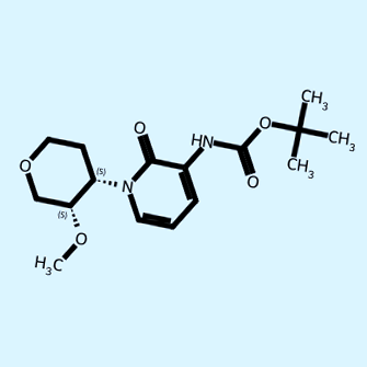 CO[C@@H]1COCC[C@@H]1n1cccc(NC(=O)OC(C)(C)C)c1=O